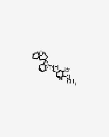 COc1ncc(CNCC[C@]2(c3ccccn3)CCOC3(CCCC3)C2)cc1Br